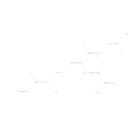 CCOC(=O)/C(O)=C/SCC(NC(=O)C(N)CS)C(=O)NCC(=O)O